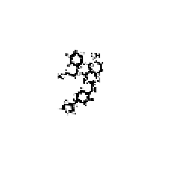 CN1CCc2nc(Nc3ccc(-c4cnco4)cc3)nc(N(CCO)c3ccccc3)c2C1